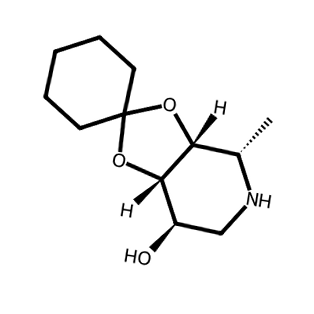 C[C@@H]1NC[C@@H](O)[C@@H]2OC3(CCCCC3)O[C@@H]21